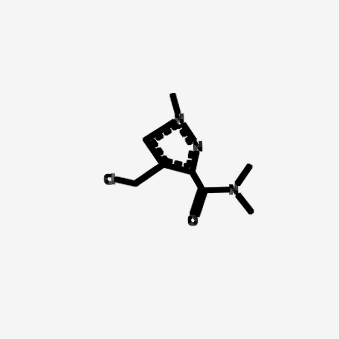 CN(C)C(=O)c1nn(C)cc1CCl